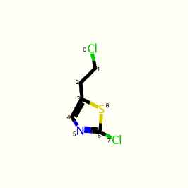 ClCCc1cnc(Cl)s1